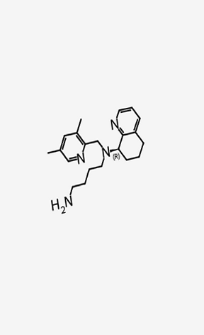 Cc1cnc(CN(CCCCN)[C@@H]2CCCc3cccnc32)c(C)c1